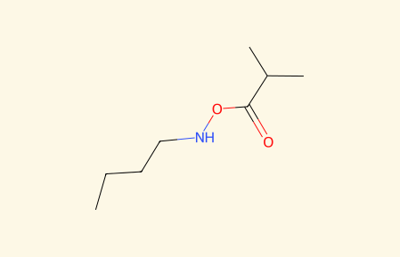 CCCCNOC(=O)C(C)C